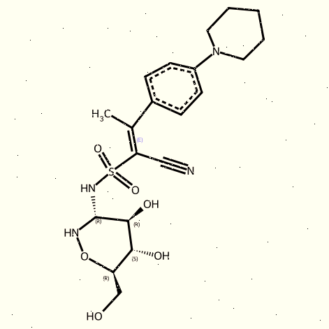 C/C(=C(/C#N)S(=O)(=O)N[C@H]1NO[C@H](CO)[C@@H](O)[C@@H]1O)c1ccc(N2CCCCC2)cc1